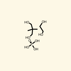 CC(C)(CO)CO.O=P(O)(O)O.OCCO